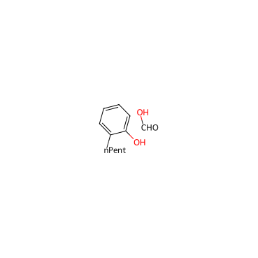 CCCCCc1ccccc1O.O=CO